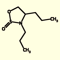 CCCC1COS(=O)N1CCC